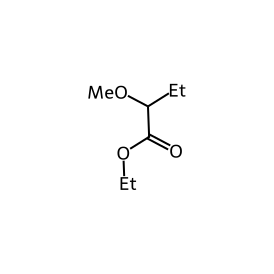 CCOC(=O)C(CC)OC